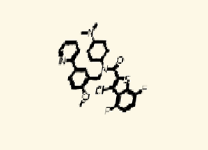 COc1ccc(-c2ccccn2)cc1CN(C(=O)c1sc2c(F)ccc(F)c2c1Cl)[C@H]1CC[C@H](N(C)C)CC1